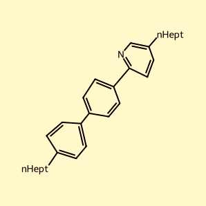 CCCCCCCc1ccc(-c2ccc(-c3ccc(CCCCCCC)cn3)cc2)cc1